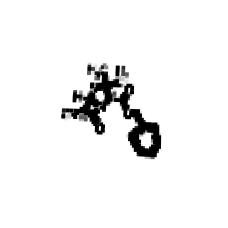 [C-]#[N+][C@@H]1C(=O)N2[C@@H]1SC(C)(C)[C@@H]2C(=O)OCc1ccccc1